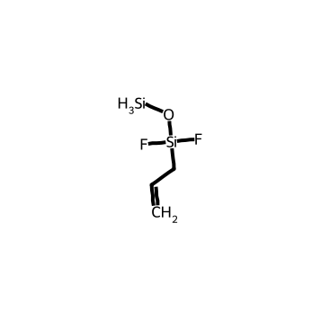 C=CC[Si](F)(F)O[SiH3]